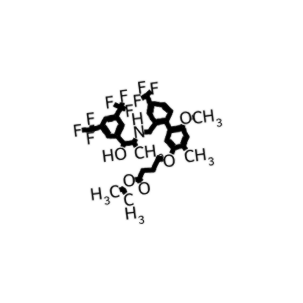 COc1cc(C)c(OCCCC(=O)OC(C)C)cc1-c1ccc(C(F)(F)F)cc1CNC(C)C(O)c1cc(C(F)(F)F)cc(C(F)(F)F)c1